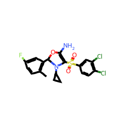 Cc1ccc(F)cc1C1OC(N)=C(S(=O)(=O)c2ccc(Cl)c(Cl)c2)N1C1CC1